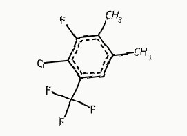 Cc1cc(C(F)(F)F)c(Cl)c(F)c1C